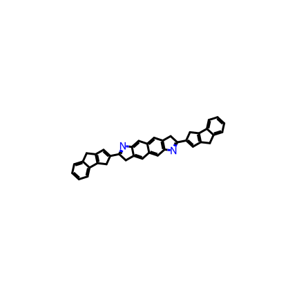 C1=C(C2=Nc3cc4cc5c(cc4cc3C2)N=C(C2=CC3=C(C2)c2ccccc2C3)C5)CC2=C1Cc1ccccc12